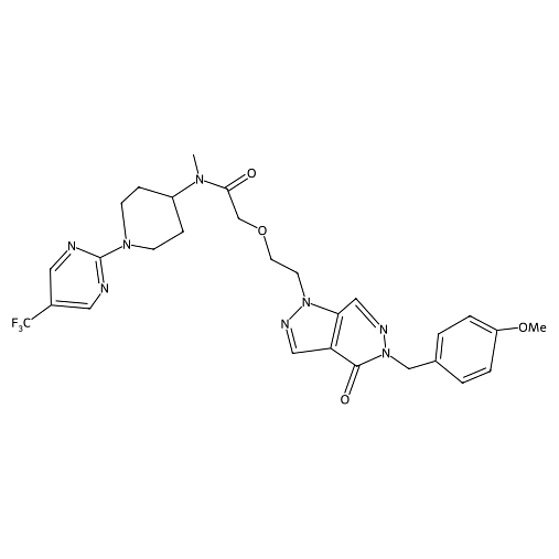 COc1ccc(Cn2ncc3c(cnn3CCOCC(=O)N(C)C3CCN(c4ncc(C(F)(F)F)cn4)CC3)c2=O)cc1